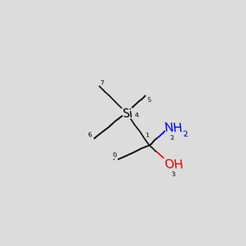 [CH2]C(N)(O)[Si](C)(C)C